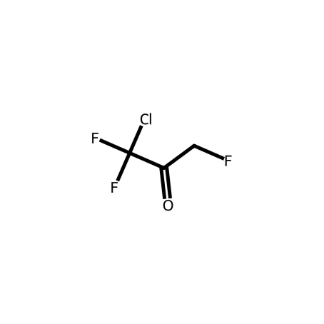 O=C(CF)C(F)(F)Cl